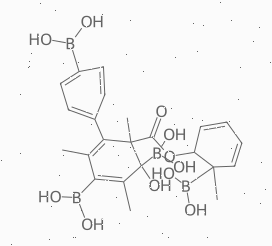 CC1=C(c2ccc(B(O)O)cc2)C(C)(C(=O)OC2C=CC=CC2(C)B(O)O)C(O)(B(O)O)C(C)=C1B(O)O